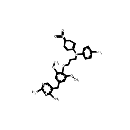 COc1cc(Cc2cnc(N)nc2N)cc(OC)c1OCCCN(C1=CCC(=S(=O)=O)C=C1)c1ccc(C)cc1